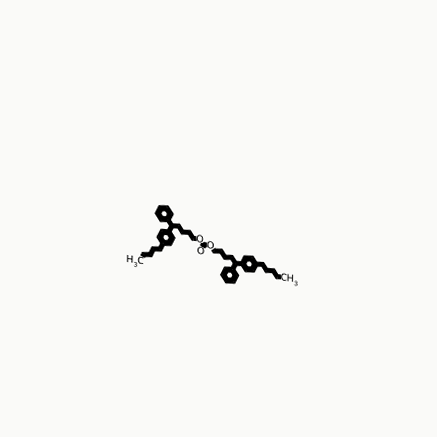 CCCCCc1ccc(C(CCCCOC(=O)OCCCCC(c2ccccc2)c2ccc(CCCCC)cc2)c2ccccc2)cc1